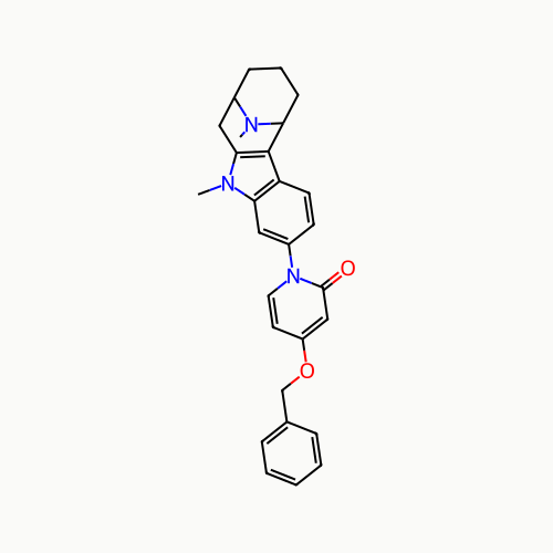 CN1C2CCCC1c1c(n(C)c3cc(-n4ccc(OCc5ccccc5)cc4=O)ccc13)C2